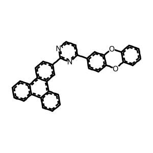 c1ccc2c(c1)Oc1ccc(-c3ccnc(-c4ccc5c6ccccc6c6ccccc6c5c4)n3)cc1O2